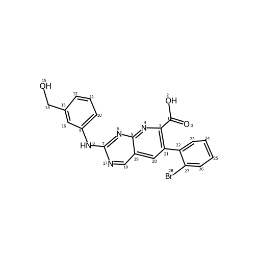 O=C(O)c1nc2nc(Nc3cccc(CO)c3)ncc2cc1-c1ccccc1Br